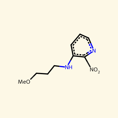 COCCCNc1cccnc1[N+](=O)[O-]